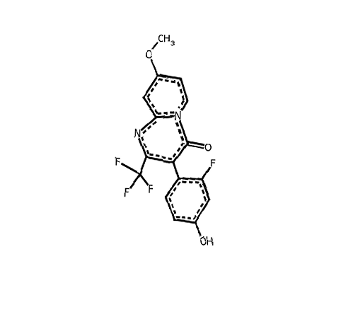 COc1ccn2c(=O)c(-c3ccc(O)cc3F)c(C(F)(F)F)nc2c1